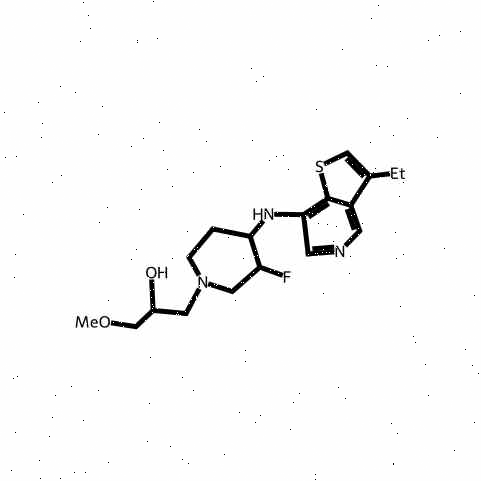 CCc1csc2c(NC3CCN(CC(O)COC)CC3F)cncc12